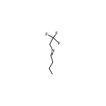 CCCC=NCC(F)(F)F